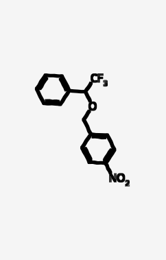 O=[N+]([O-])c1ccc(COC(c2ccccc2)C(F)(F)F)cc1